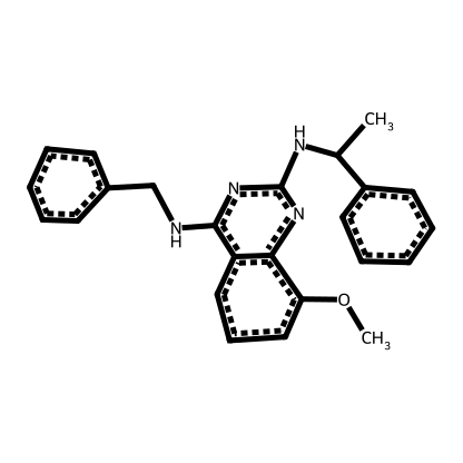 COc1cccc2c(NCc3ccccc3)nc(NC(C)c3ccccc3)nc12